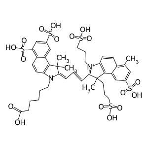 Cc1cc(S(=O)(=O)O)cc2c3c(ccc12)[N+](CCCS(=O)(=O)O)=C(/C=C/C=C1/N(CCCCCC(=O)O)c2ccc4c(S(=O)(=O)O)cc(S(=O)(=O)O)cc4c2C1(C)C)C3(C)CCCS(=O)(=O)O